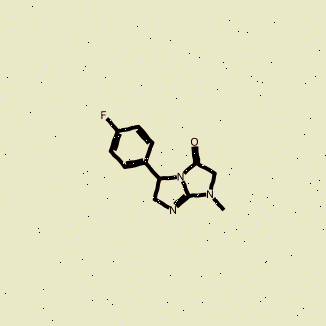 CN1CC(=O)N2C1=NCC2c1ccc(F)cc1